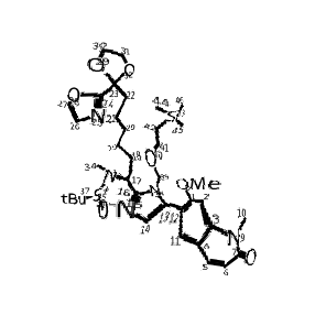 COc1cc2c(ccc(=O)n2C)cc1-c1cnc(C(CCCCCC2(c3ncco3)OCCO2)N(C)[S@@+]([O-])C(C)(C)C)n1COCC[Si](C)(C)C